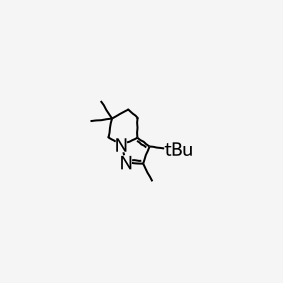 Cc1nn2c(c1C(C)(C)C)CCC(C)(C)C2